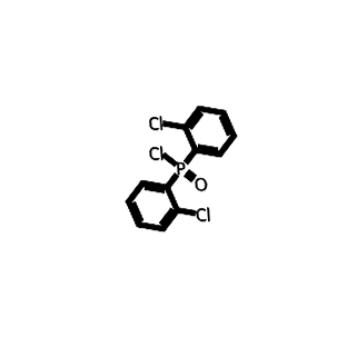 O=P(Cl)(c1ccccc1Cl)c1ccccc1Cl